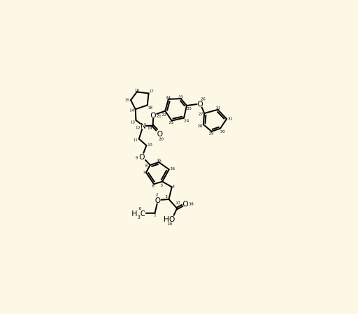 CCOC(Cc1ccc(OCCN(CC2CCCC2)C(=O)Oc2ccc(Oc3ccccc3)cc2)cc1)C(=O)O